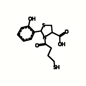 O=C(O)C1CSC(c2ccccc2O)N1C(=O)CCCS